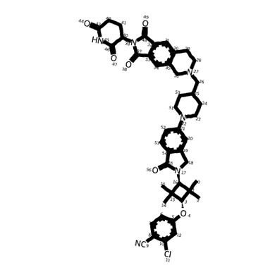 CC1(C)[C@H](Oc2ccc(C#N)c(Cl)c2)C(C)(C)[C@H]1N1Cc2cc(N3CCC(CN4CCc5cc6c(cc5C4)C(=O)N(C4CCC(=O)NC4=O)C6=O)CC3)ccc2C1=O